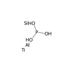 OP(O)O.[Al].[Si].[Ti]